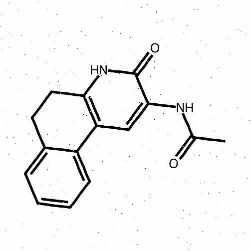 CC(=O)Nc1cc2c([nH]c1=O)CCc1ccccc1-2